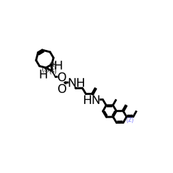 C=C(CCCNC(=O)OC[C@@H]1[C@@H]2CCC#CCC[C@@H]21)NCc1ccc2cc/c(=C/C)c(=C)c2c1C